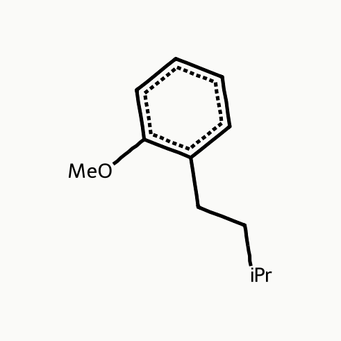 COc1ccccc1CCC(C)C